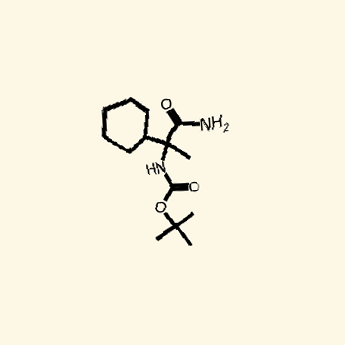 CC(C)(C)OC(=O)NC(C)(C(N)=O)C1CCCCC1